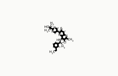 C=Cc1cccc([C@@H](C)Nc2c(Cl)c(C)nc3cc(F)c(-c4cnc(C(C)(C)O)nc4)nc23)c1